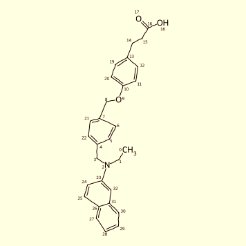 CCN(Cc1ccc(COc2ccc(CCC(=O)O)cc2)cc1)c1ccc2ccccc2c1